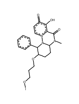 CN1C(=O)c2c(O)c(=O)ccn2N2C(c3ccccc3)C(OCCCOI)CCC12